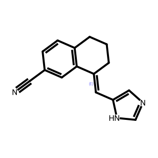 N#Cc1ccc2c(c1)/C(=C/c1cnc[nH]1)CCC2